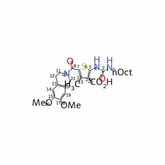 CCCCCCCCNC(=O)Nc1sc(C(=O)N2CCc3cc(OC)c(OC)cc3C2)c(C)c1C(=O)O